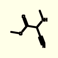 CNC(C#N)C(=O)OC